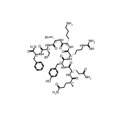 CC(C)C[C@H](NC(=O)[C@H](CC(C)C)NC(=O)[C@H](CCCCN)NC(=O)[C@H](CCCNC(=N)N)NC(=O)[C@H](Cc1ccc(O)cc1)NC(=O)[C@H](CCC(N)=O)NC(=O)[C@@H](C)CCC(N)=O)C(=O)N[C@@H](Cc1ccccc1)C(N)=O